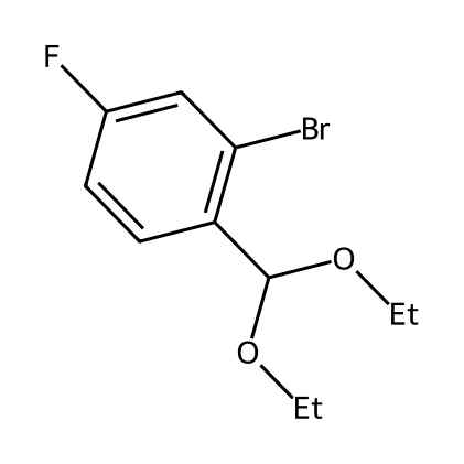 CCOC(OCC)c1ccc(F)cc1Br